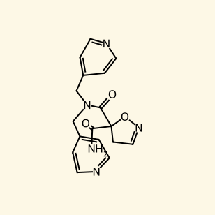 NC(=O)C1(C(=O)N(Cc2ccncc2)Cc2ccncc2)CC=NO1